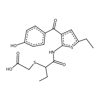 CCc1cc(C(=O)c2ccc(O)cc2)c(NC(=O)C(CC)SCC(=O)O)s1